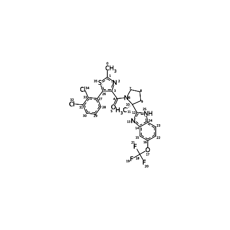 Cc1nc(C(=O)N2CCC[C@@]2(C)c2nc3cc(OC(F)(F)F)ccc3[nH]2)c(-c2cccc(Cl)c2Cl)s1